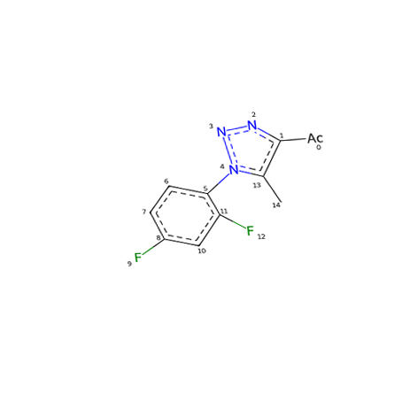 CC(=O)c1nnn(-c2ccc(F)cc2F)c1C